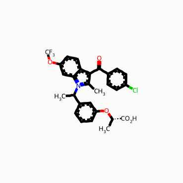 Cc1c(C(=O)c2ccc(Cl)cc2)c2ccc(OC(F)(F)F)cc2n1C(C)c1cccc(O[C@@H](C)C(=O)O)c1